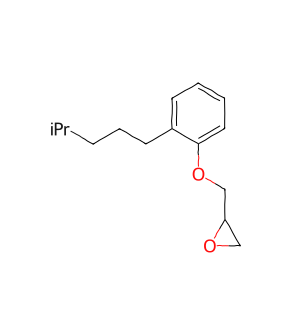 CC(C)CCCc1ccccc1OCC1CO1